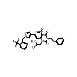 CC(C)Cn1c(C=Cc2cnn(Cc3ccccc3C(F)(F)F)c2)c([N+](=O)[O-])c(=O)n(CCc2ccccc2)c1=O